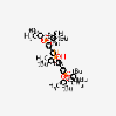 Cc1cc(OP(Oc2cc(C)c(C(C)(C)C)cc2C(C)(C)C)c2ccc(-c3ccc([PH](O)(c4ccc(-c5ccc(P(=O)(Oc6cc(C)c(C(C)(C)C)cc6C(C)(C)C)Oc6cc(C)c(C(C)(C)C)cc6C(C)(C)C)cc5)cc4)c4cc(C)c(C(C)(C)C)cc4C(C)(C)C)cc3)cc2)c(C(C)(C)C)cc1C(C)(C)C